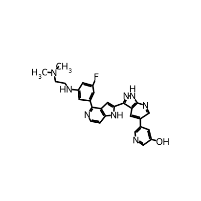 CN(C)CCNc1cc(F)cc(-c2nccc3[nH]c(-c4n[nH]c5ncc(-c6cncc(O)c6)cc45)cc23)c1